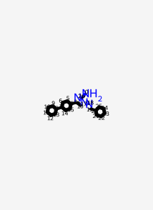 Nc1nc(-c2ccc(-c3ccccc3)cc2)cn1N=Cc1ccccc1